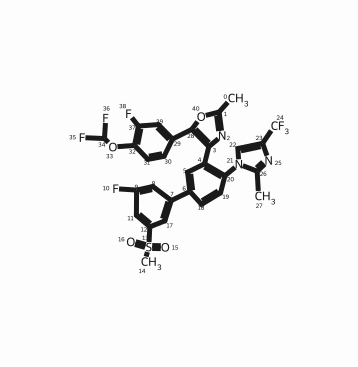 Cc1nc(-c2cc(-c3cc(F)cc(S(C)(=O)=O)c3)ccc2-n2cc(C(F)(F)F)nc2C)c(-c2ccc(OC(F)F)c(F)c2)o1